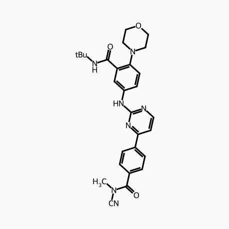 CN(C#N)C(=O)c1ccc(-c2ccnc(Nc3ccc(N4CCOCC4)c(C(=O)NC(C)(C)C)c3)n2)cc1